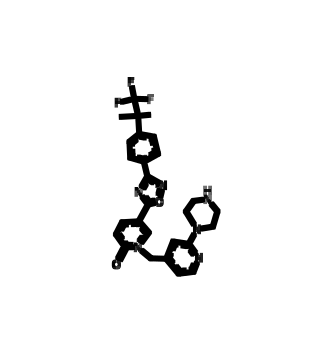 CC(C)(c1ccc(-c2noc(-c3ccc(=O)n(Cc4ccnc(N5CCNCC5)c4)c3)n2)cc1)C(F)(F)F